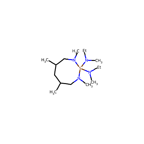 CCN(C)S1(N(C)CC)N(C)CC(C)CC(C)CN1C